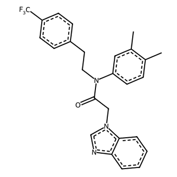 Cc1ccc(N(CCc2ccc(C(F)(F)F)cc2)C(=O)Cn2cnc3ccccc32)cc1C